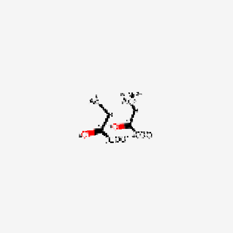 CC(=O)CC(=O)C(=O)[O-].CC(=O)CC(=O)C(=O)[O-].[Ni+2]